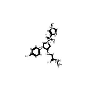 CCCNC(=O)CO[C@@H]1CN(S(=O)(=O)c2cn(C)cn2)C[C@H]1c1ccc(F)cc1